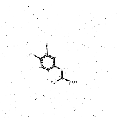 CCOC(=O)[C@@H](C)Oc1ccc(F)c(F)c1